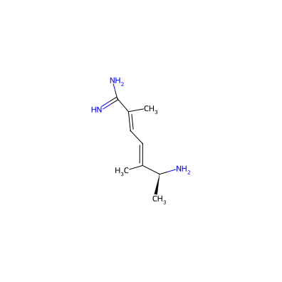 C/C(=C\C=C(/C)[C@H](C)N)C(=N)N